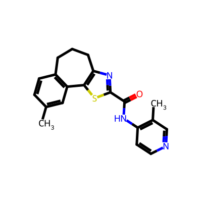 Cc1ccc2c(c1)-c1sc(C(=O)Nc3ccncc3C)nc1CCC2